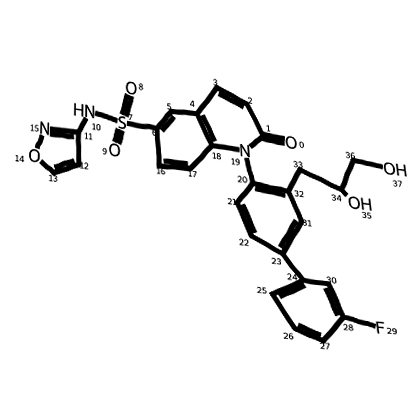 O=c1ccc2cc(S(=O)(=O)Nc3ccon3)ccc2n1-c1ccc(-c2cccc(F)c2)cc1CC(O)CO